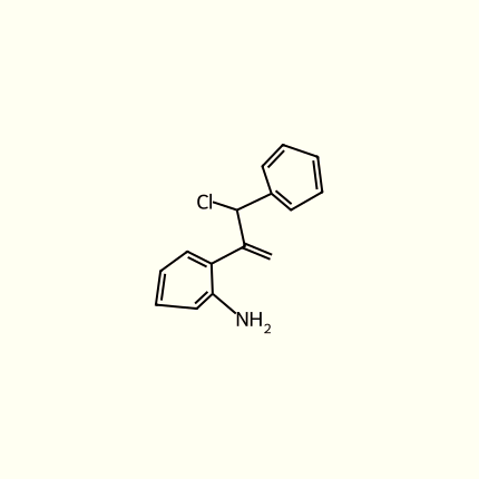 C=C(c1ccccc1N)C(Cl)c1ccccc1